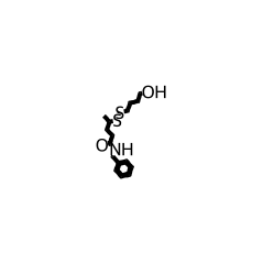 CC(CCC(=O)NCc1ccccc1)SSCCCCO